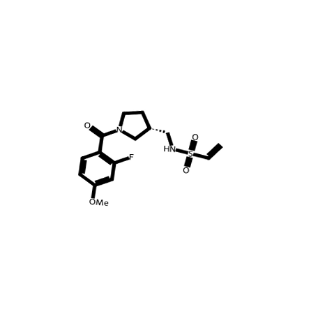 C=CS(=O)(=O)NC[C@H]1CCN(C(=O)c2ccc(OC)cc2F)C1